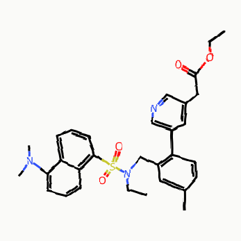 CCOC(=O)Cc1cncc(-c2ccc(C)cc2CN(CC)S(=O)(=O)c2cccc3c(N(C)C)cccc23)c1